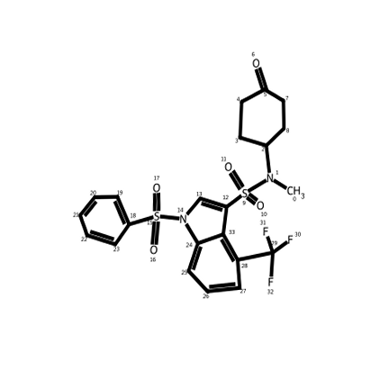 CN(C1CCC(=O)CC1)S(=O)(=O)c1cn(S(=O)(=O)c2ccccc2)c2cccc(C(F)(F)F)c12